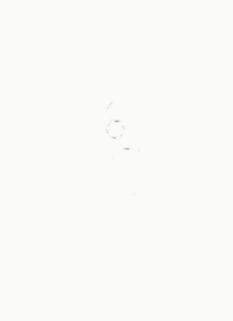 CCCCCCCC[C@H]1CC[C@H](OC(=O)c2ccc(C3=CCC(CC(C)CC)CC3)cc2)CC1